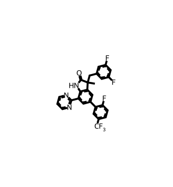 CC1(Cc2cc(F)cc(F)c2)C(=O)Nc2c(-c3ncccn3)cc(-c3cc(C(F)(F)F)ccc3F)cc21